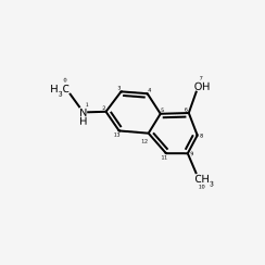 CNc1ccc2c(O)cc(C)cc2c1